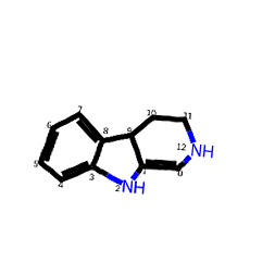 C1=C2Nc3ccccc3C2CCN1